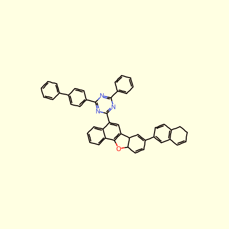 C1=Cc2cc(C3=CC4c5cc(-c6nc(-c7ccccc7)nc(-c7ccc(-c8ccccc8)cc7)n6)c6ccccc6c5OC4C=C3)ccc2CC1